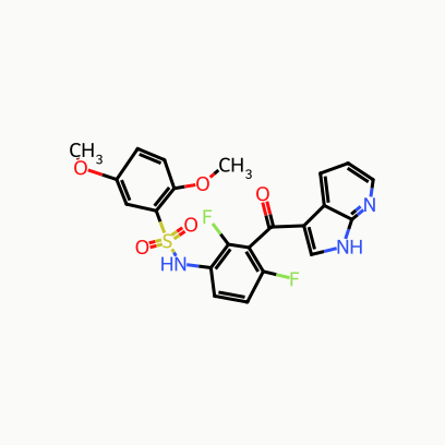 COc1ccc(OC)c(S(=O)(=O)Nc2ccc(F)c(C(=O)c3c[nH]c4ncccc34)c2F)c1